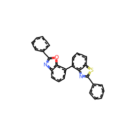 c1ccc(-c2nc3cccc(-c4cccc5sc(-c6ccccc6)nc45)c3o2)cc1